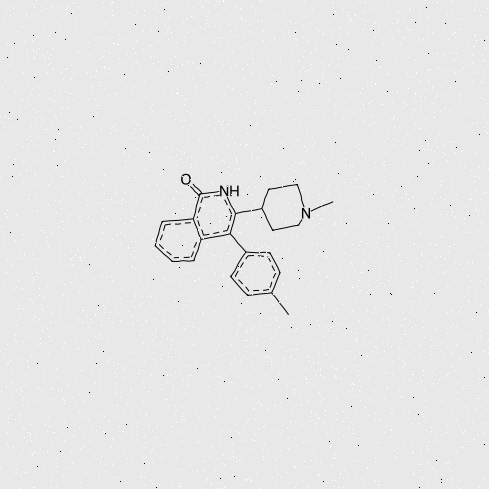 Cc1ccc(-c2c(C3CCN(C)CC3)[nH]c(=O)c3ccccc23)cc1